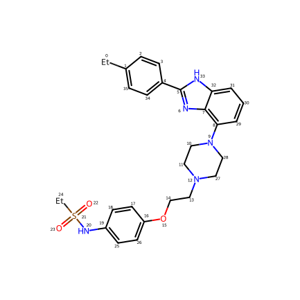 CCc1ccc(-c2nc3c(N4CCN(CCOc5ccc(NS(=O)(=O)CC)cc5)CC4)cccc3[nH]2)cc1